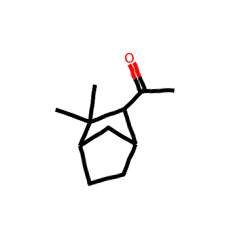 CC(=O)C1C2CCC(C2)C1(C)C